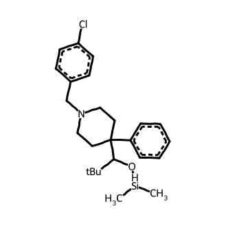 C[SiH](C)OC(C(C)(C)C)C1(c2ccccc2)CCN(Cc2ccc(Cl)cc2)CC1